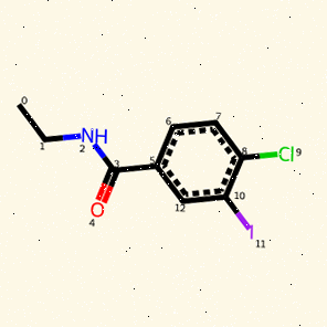 CCNC(=O)c1ccc(Cl)c(I)c1